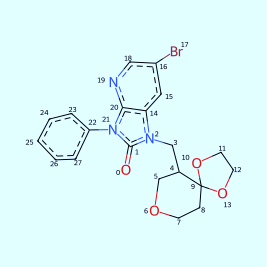 O=c1n(CC2COCCC23OCCO3)c2cc(Br)cnc2n1-c1ccccc1